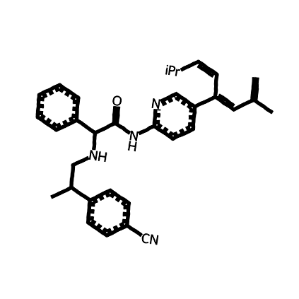 C=C(C)/C=C(\C=C/C(C)C)c1ccc(NC(=O)C(NCC(C)c2ccc(C#N)cc2)c2ccccc2)nc1